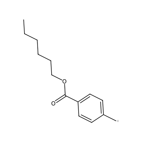 [CH]c1ccc(C(=O)OCCCCCC)cc1